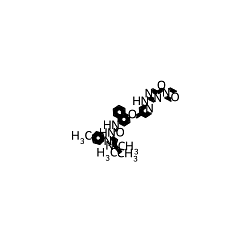 Cc1ccc(-n2nc(C(C)(C)C)cc2NC(=O)Nc2ccc(OCc3ccnc(Nc4cnc(C(=O)N5CCOCC5)cn4)c3)c3ccccc23)cc1